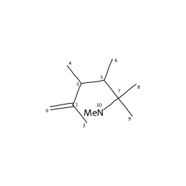 C=C(C)C(C)C(C)C(C)(C)NC